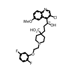 COc1ccc2ncc(Cl)c([C@@H](O)CCC3(C(=O)O)CCN(CCOc4cc(F)ccc4F)CC3)c2c1